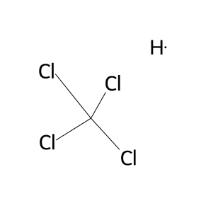 ClC(Cl)(Cl)Cl.[H]